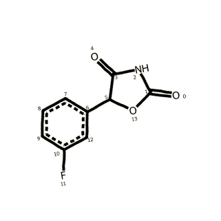 O=C1NC(=O)C(c2cccc(F)c2)O1